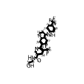 O=C(NCCO)c1cnc(-c2ccc3c(Nc4ccc(C(F)(F)F)cc4)ccnc3c2)c(C(F)(F)F)c1